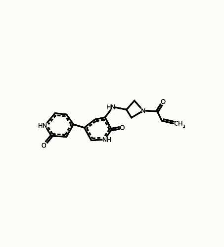 C=CC(=O)N1CC(Nc2cc(-c3cc[nH]c(=O)c3)c[nH]c2=O)C1